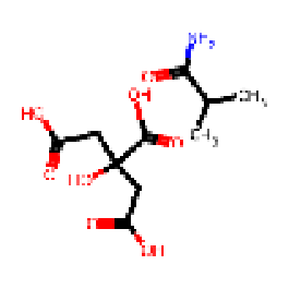 CC(C)C(N)=O.O=C(O)CC(O)(CC(=O)O)C(=O)O